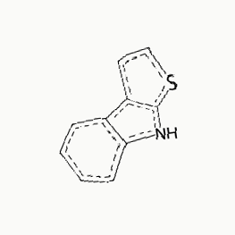 c1ccc2c(c1)[nH]c1sccc12